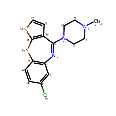 CN1CCN(C2=Nc3cc(Cl)ccc3Sc3sccc32)CC1